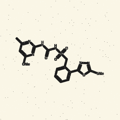 COc1cc(C)nc(NC(=O)NS(=O)(=O)Cc2ccccc2-c2nnc(SC)o2)n1